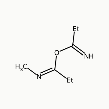 CCC(=N)O/C(CC)=N\C